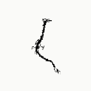 CCC(CO)(COC(=O)CCCCCCCCCCCCCCCCCO)COC(=O)CCCCCCCCCCCCCCCCCO